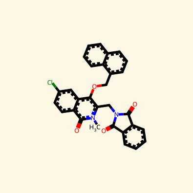 Cn1c(CN2C(=O)c3ccccc3C2=O)c(OCc2cccc3ccccc23)c2cc(Cl)ccc2c1=O